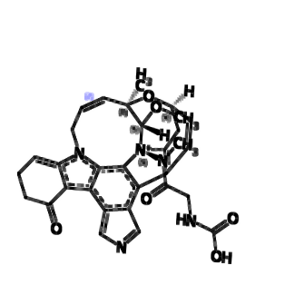 CO[C@H]1[C@@]2(C)/C=C\Cn3c4c(c5c6c(c7c(c53)[N@@+]1(N(C)C(=O)CNC(=O)O)C1=C7C=C[C@@H](C1)O2)C=NC=6)C(=O)CCC=4